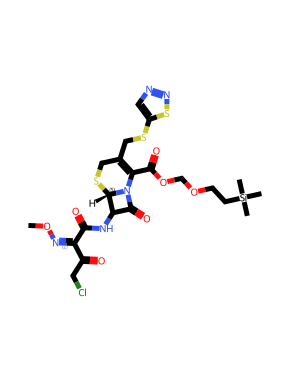 CO/N=C(/C(=O)CCl)C(=O)NC1C(=O)N2C(C(=O)OCOCC[Si](C)(C)C)=C(CSc3cnns3)CS[C@@H]12